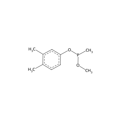 COP(C)Oc1ccc(C)c(C)c1